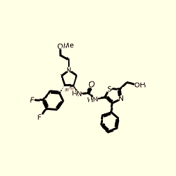 COCCN1C[C@@H](NC(=O)Nc2sc(CO)nc2-c2ccccc2)[C@H](c2ccc(F)c(F)c2)C1